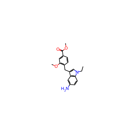 CCn1cc(Cc2ccc(C(=O)OC)cc2OC)c2cc(N)ccc21